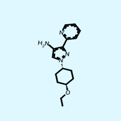 CCO[C@H]1CC[C@H](n2cc(N)c(-c3ccccn3)n2)CC1